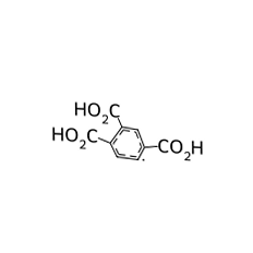 O=C(O)c1[c]cc(C(=O)O)c(C(=O)O)c1